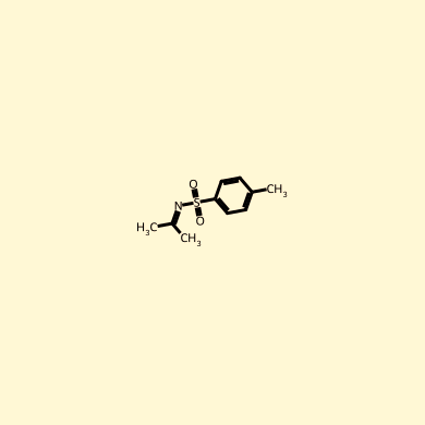 CC(C)=NS(=O)(=O)c1ccc(C)cc1